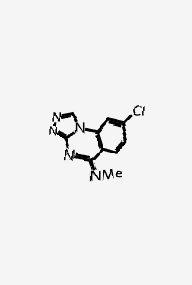 CNc1nc2nncn2c2cc(Cl)ccc12